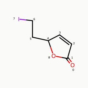 O=C1C=CC(CCI)O1